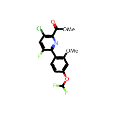 COC(=O)c1nc(-c2ccc(OC(F)F)cc2OC)c(F)cc1Cl